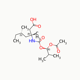 CC[C@H](C)C[C@](C)(CC(=O)O)NC(=O)O[C@@H](OC(C)=O)C(C)C